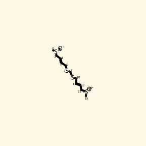 C[S+]([O-])CC=CCSCSCC=CC[S+](C)[O-]